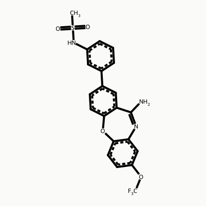 CS(=O)(=O)Nc1cccc(-c2ccc3c(c2)C(N)=Nc2cc(OC(F)(F)F)ccc2O3)c1